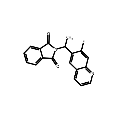 CC(c1cc2cccnc2cc1F)N1C(=O)c2ccccc2C1=O